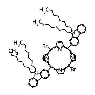 CCCCCCCC[Si]1(CCCCCCCC)c2ccccc2-c2ccc(-c3c4nc(c(Br)c5ccc([nH]5)c(-c5ccc6c(c5)[Si](CCCCCCCC)(CCCCCCCC)c5ccccc5-6)c5nc(c(Br)c6ccc3[nH]6)C=C5)C=C4)cc21